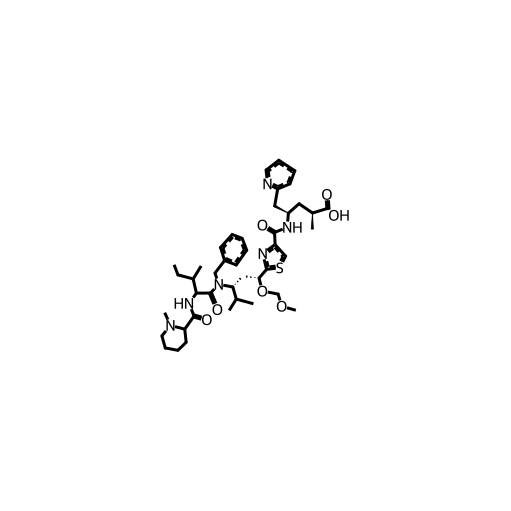 CCC(C)C(NC(=O)C1CCCCN1C)C(=O)N(Cc1ccccc1)[C@H](C[C@@H](OCOC)c1nc(C(=O)N[C@@H](Cc2ccccn2)C[C@H](C)C(=O)O)cs1)C(C)C